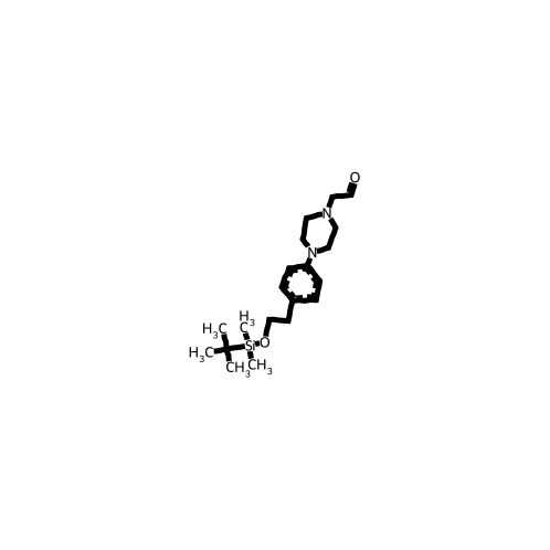 CC(C)(C)[Si](C)(C)OCCc1ccc(N2CCN(CC=O)CC2)cc1